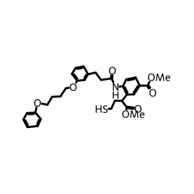 COC(=O)c1ccc(NC(=O)CCc2cccc(OCCCCOc3ccccc3)c2)c(C(CCS)C(=O)OC)c1